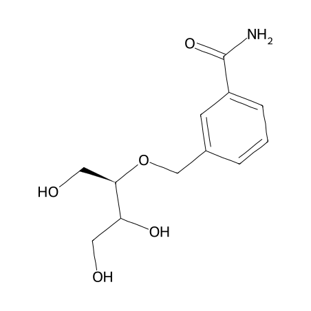 NC(=O)c1cccc(CO[C@H](CO)C(O)CO)c1